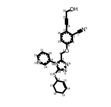 N#Cc1cc(OCc2nnc(SC3C=CCCC3)n2-c2cccnc2)ccc1C#CCO